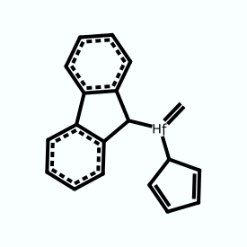 [CH2]=[Hf]([CH]1C=CC=C1)[CH]1c2ccccc2-c2ccccc21